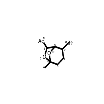 CC(=O)C1OC2(C)CCC(C(C)C)C1O2